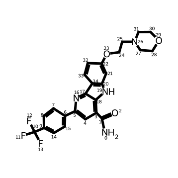 NC(=O)c1cc(-c2ccc(C(F)(F)F)cc2)nc2c1[nH]c1cc(OCCN3CCOCC3)ccc12